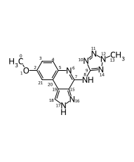 COc1ccc2nc(Nc3nnn(C)n3)c3n[nH]cc3c2c1